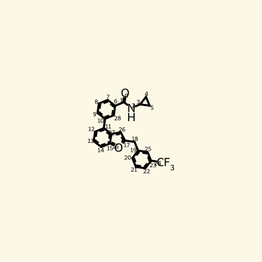 O=C(NC1CC1)c1cccc(-c2cccc3oc(Cc4cccc(C(F)(F)F)c4)cc23)c1